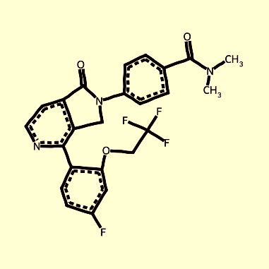 CN(C)C(=O)c1ccc(N2Cc3c(ccnc3-c3ccc(F)cc3OCC(F)(F)F)C2=O)cc1